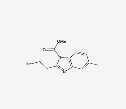 COC(=O)n1c(CCC(C)C)nc2cc(C)ccc21